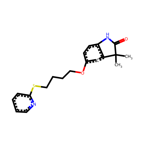 CC1(C)C(=O)Nc2ccc(OCCCCSc3ccccn3)cc21